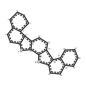 c1ccc2c(c1)ccc1oc3c(ccc4c3oc3ccc5ccccc5c34)c12